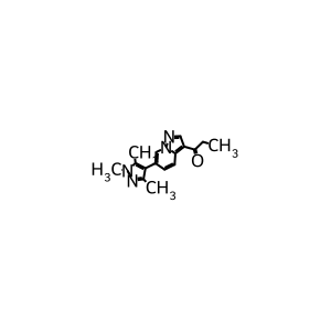 CCC(=O)c1cnn2cc(-c3c(C)nn(C)c3C)ccc12